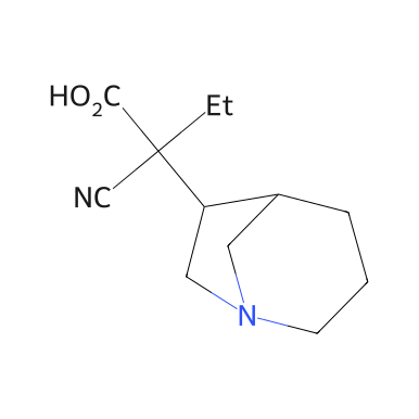 CCC(C#N)(C(=O)O)C1CN2CCCC1C2